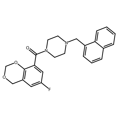 O=C(c1cc(F)cc2c1OCOC2)N1CCN(Cc2cccc3ccccc23)CC1